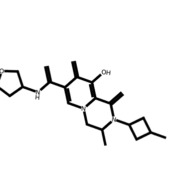 C=C(NC1CCOC1)C1=CN2CC(C)N(C3CC(C)C3)C(=C)C2=C(O)C1=C